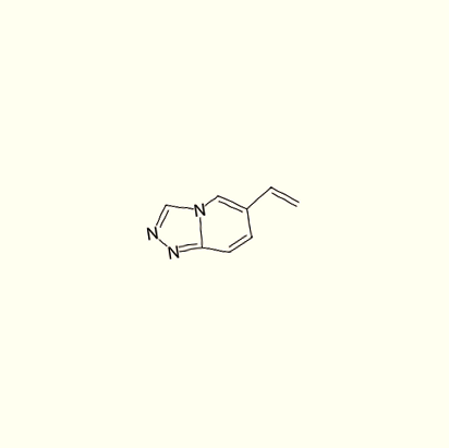 C=Cc1ccc2nncn2c1